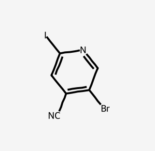 N#Cc1cc(I)ncc1Br